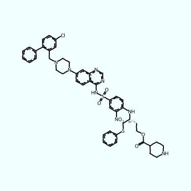 O=C(OCC[C@H](CSc1ccccc1)Nc1ccc(S(=O)(=O)Nc2ncnc3cc(N4CCN(Cc5cc(Cl)ccc5-c5ccccc5)CC4)ccc23)cc1[N+](=O)[O-])C1CCNCC1